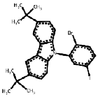 CC(C)(C)c1ccc2c(c1)c1cc(C(C)(C)C)ccc1n2-c1cc(I)ccc1Br